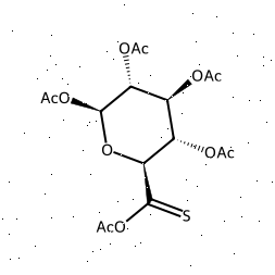 CC(=O)OC(=S)[C@H]1O[C@@H](OC(C)=O)[C@H](OC(C)=O)[C@@H](OC(C)=O)[C@@H]1OC(C)=O